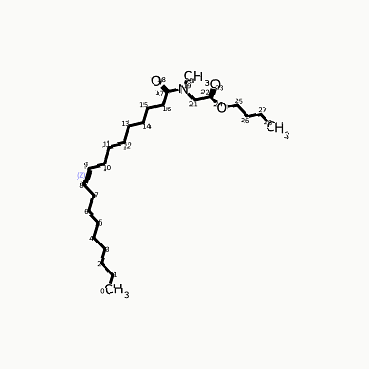 CCCCCCCC/C=C\CCCCCCCC(=O)N(C)CC(=O)OCCCC